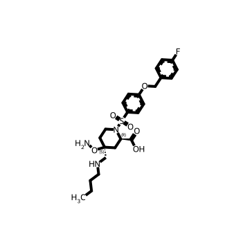 CCCCNC[C@]1(ON)CCN(S(=O)(=O)c2ccc(OCc3ccc(F)cc3)cc2)[C@@H](C(=O)O)C1